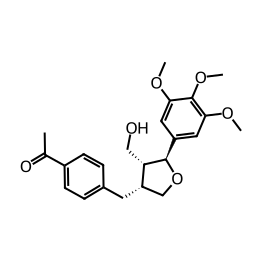 COc1cc([C@H]2OC[C@H](Cc3ccc(C(C)=O)cc3)[C@@H]2CO)cc(OC)c1OC